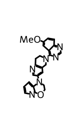 COc1ccc2ncnc(N3CCc4ncc(N5CCOc6ncccc65)cc4C3)c2c1